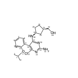 CC(C)Oc1ncccc1-c1c(Cl)nc(N)nc1N[C@H]1CC[C@@H](CO)C1